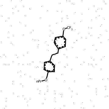 CCCOc1ccc(CCc2ccc(OC(F)(F)F)cc2)cc1